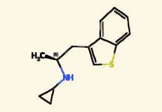 C[C@@H](Cc1csc2ccccc12)NC1CC1